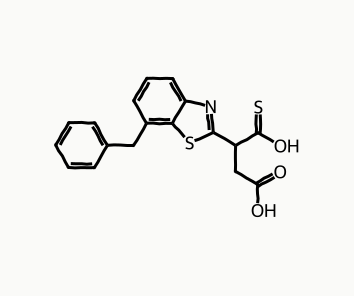 O=C(O)CC(C(O)=S)c1nc2cccc(Cc3ccccc3)c2s1